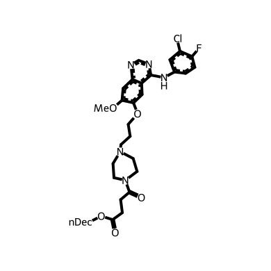 CCCCCCCCCCOC(=O)CCC(=O)N1CCN(CCCOc2cc3c(Nc4ccc(F)c(Cl)c4)ncnc3cc2OC)CC1